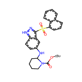 CC(C)(C)OC(=O)N1CCCCC1Nc1ccc2[nH]nc(S(=O)(=O)c3cccc4ccccc34)c2c1